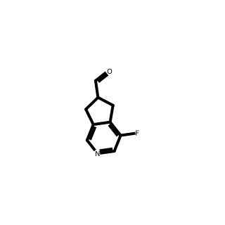 O=CC1Cc2cncc(F)c2C1